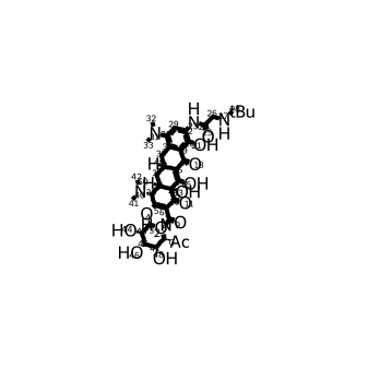 CC(=O)[C@H]1O[C@@H](OC2=C(C(N)=O)C(=O)[C@@]3(O)C(O)=C4C(=O)c5c(O)c(NC(=O)CNC(C)(C)C)cc(N(C)C)c5C[C@H]4C[C@H]3[C@H]2N(C)C)[C@H](O)[C@@H](O)[C@@H]1O